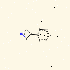 [c]1ccccc1C1CNC1